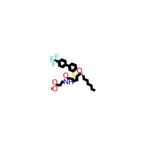 CCCCCCC[C@@H](Oc1ccc(-c2ccc(C(F)(F)F)cc2)cc1)c1ccc(C(=O)NCCC(=O)OC)s1